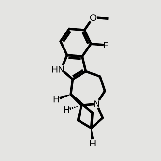 COc1ccc2[nH]c3c(c2c1F)CCN1C[C@H]2C[C@@H]3[C@@H]1C2